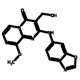 COc1cccn2c(=O)c(CO)c(Nc3ccc4ncoc4c3)nc12